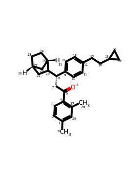 Cc1ccc(C(=O)C[C@@H](c2ccc(CCC3CC3)cc2)C2C[C@@H]3CC[C@H]2C3)c(C)c1